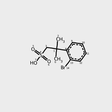 CC(C)(CS(=O)(=O)O)c1ccccc1Br